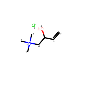 C=CC(O)C[N+](C)(C)C.[Cl-]